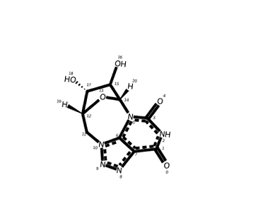 O=c1[nH]c(=O)n2c3c1nnn3C[C@H]1O[C@@H]2C(O)[C@H]1O